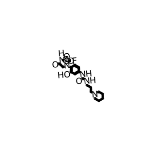 O=C1CN(c2c(O)cc(NC(=O)NCCCN3CCCCC3)cc2F)S(=O)(=O)N1